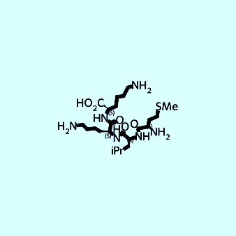 CSCC[C@H](N)C(=O)N[C@@H](CC(C)C)C(=O)N[C@@H](CCCCN)C(=O)N[C@@H](CCCCN)C(=O)O